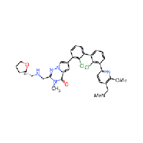 CNCc1ccc(-c2cccc(-c3cccc(-c4cc5c(=O)n(C)c(CNC[C@@H]6CCCO6)nn5c4)c3Cl)c2Cl)nc1OC